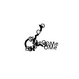 CO[Si](CCC[Si]1(C)O[SiH](C)O[SiH](C)CCCCO[Si](C)(CCCOCC2CO2)O1)(OC)OC